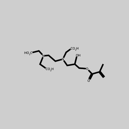 C=C(C)C(=O)OCC(O)CN(CCN(CC(=O)O)CC(=O)O)CC(=O)O